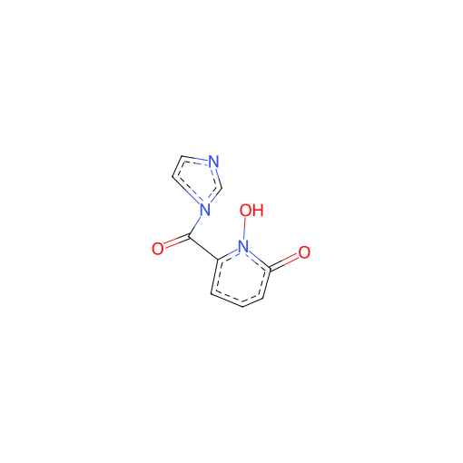 O=C(c1cccc(=O)n1O)n1ccnc1